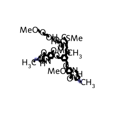 C/C=C1\C[C@H]2C=Nc3cc(OCc4cc(COc5cc6c(cc5OC)C(=O)N5C/C(=C/C)C[C@H]5C=N6)cc(N(C)CCN(CC(C)(C)SC)C(=O)CCOCCOCCOCCOC)c4)c(OC)cc3C(=O)N2C1